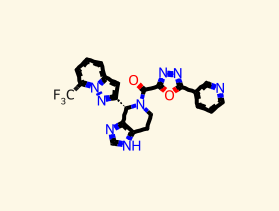 O=C(c1nnc(-c2cccnc2)o1)N1CCc2[nH]cnc2[C@@H]1c1cc2cccc(C(F)(F)F)n2n1